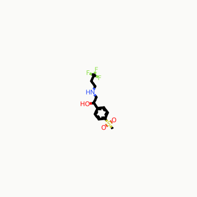 CS(=O)(=O)c1ccc(C(O)CNCCC(F)(F)F)cc1